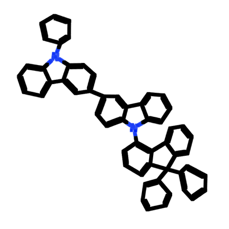 c1ccc(-n2c3ccccc3c3cc(-c4ccc5c(c4)c4ccccc4n5-c4cccc5c4-c4ccccc4C5(c4ccccc4)c4ccccc4)ccc32)cc1